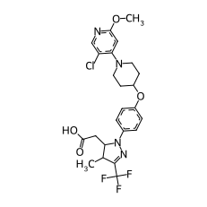 COc1cc(N2CCC(Oc3ccc(N4N=C(C(F)(F)F)C(C)C4CC(=O)O)cc3)CC2)c(Cl)cn1